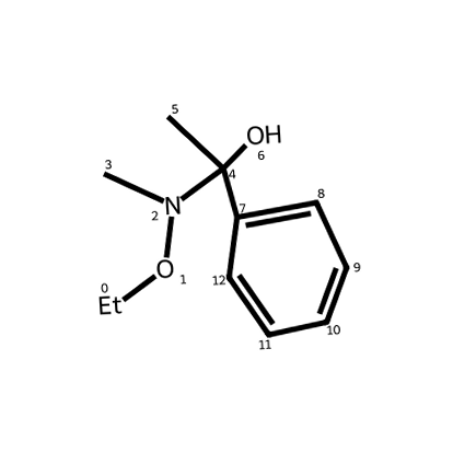 CCON(C)C(C)(O)c1ccccc1